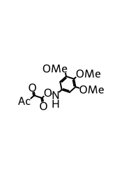 COc1cc(NOC(=O)C(=O)C(C)=O)cc(OC)c1OC